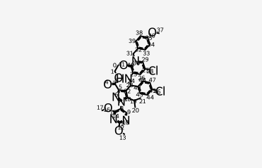 CCOC(=O)c1nn(-c2cnc(OC)nc2OC)c(C(C)C)c1C(Nc1cc(Cl)cn(Cc2ccc(OC)cc2)c1=O)c1ccc(Cl)cc1